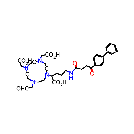 O=CCN1CCN(CC(=O)O)CCN(CC(=O)O)CCN(C(CCCNC(=O)CCC(=O)c2ccc(-c3ccccc3)cc2)C(=O)O)CC1